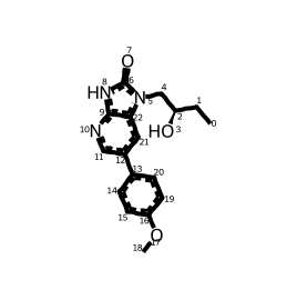 CC[C@@H](O)Cn1c(=O)[nH]c2ncc(-c3ccc(OC)cc3)cc21